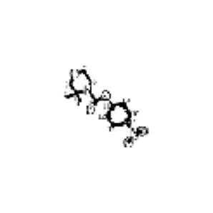 CC1(C)COCCN1C(=O)Oc1ccc([N+](=O)[O-])cc1